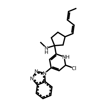 C/C=C\C=C/C1CCC(NC)(C2=CC(n3nnc4ccccc43)=CC(Cl)N2)C1